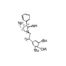 CC(C)(C)c1cc(C(=O)CN2C[C@H](CN)[C@@H](c3ccccc3)C2=N)cc(C(C)(C)C)c1O